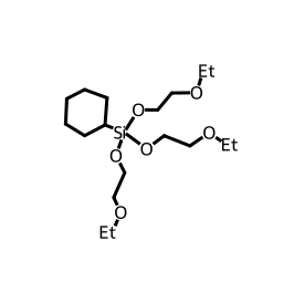 CCOCCO[Si](OCCOCC)(OCCOCC)C1CCCCC1